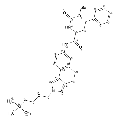 CC(C)(C)OC(=O)NC(CCc1ccccc1)C(=O)Nc1ccc2c(c1)CCc1nn(COCC[Si](C)(C)C)cc1-2